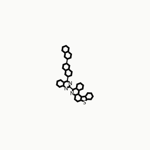 c1ccc2cc(-c3ccc4cc(-c5nc(-c6nc7ccc8sc9ccccc9c8c7c7ccccc67)nc6ccccc56)ccc4c3)ccc2c1